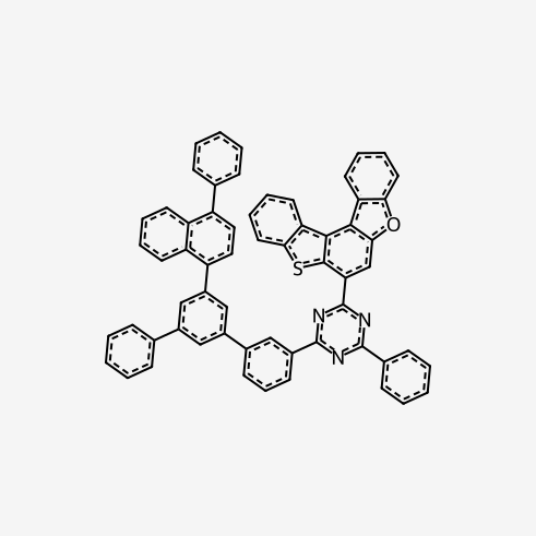 c1ccc(-c2cc(-c3cccc(-c4nc(-c5ccccc5)nc(-c5cc6oc7ccccc7c6c6c5sc5ccccc56)n4)c3)cc(-c3ccc(-c4ccccc4)c4ccccc34)c2)cc1